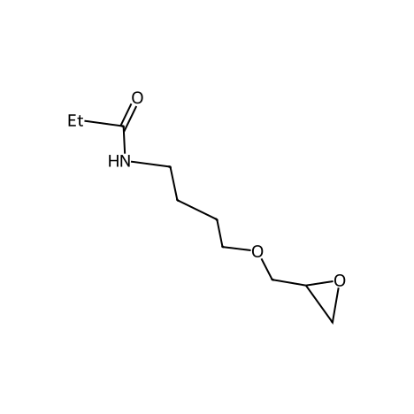 CCC(=O)NCCCCOCC1CO1